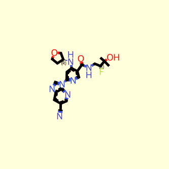 CC(C)(O)[C@H](F)CNC(=O)c1cnc(-n2cnc3cc(C#N)cnc32)cc1N[C@@H]1CCOC1